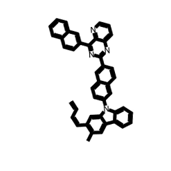 C=C/C=C\c1cc2c(cc1C)c1ccccc1n2-c1ccc2cc(-c3nc(-c4ccc5ccccc5c4)c4ncccc4n3)ccc2c1